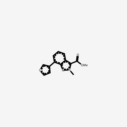 COC(=O)c1c2cccc(-c3ccsc3)c2nn1C